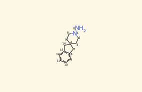 NN1CCC2(CC1)Cc1ccccc1C2